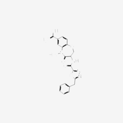 C=C(C)c1ccc2c(c1)N(C)C(=O)C(NC(=O)c1nnc(Cc3ccccc3)o1)CO2